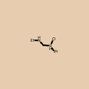 CCNC[SiH](Cl)C(C)C